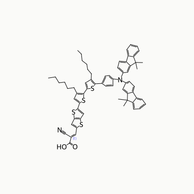 CCCCCCc1cc(-c2sc(-c3cc4sc(/C=C(\C#N)C(=O)O)cc4s3)cc2CCCCCC)sc1-c1ccc(N(c2ccc3c(c2)C(C)(C)c2ccccc2-3)c2ccc3c(c2)C(C)(C)c2ccccc2-3)cc1